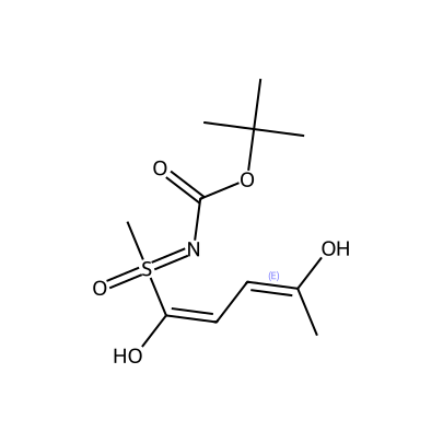 C/C(O)=C\C=C(O)S(C)(=O)=NC(=O)OC(C)(C)C